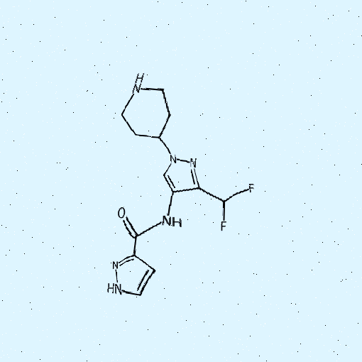 O=C(Nc1cn(C2CCNCC2)nc1C(F)F)c1cc[nH]n1